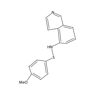 COc1ccc(SNc2cccc3cnccc23)cc1